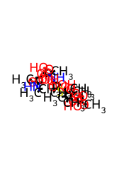 COc1c(OC2OC3OC3C(OC)C2O)c(C)c(C)c(C(=O)SC2C(O)CC(ONC3C(C)OC(O)C(OC4CC(OC)C(NC(C)C)CO4)C3O)OC2C)c1OC